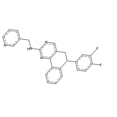 Fc1ccc(C2Cc3cnc(NCc4cccnc4)nc3-c3ccccc32)cc1F